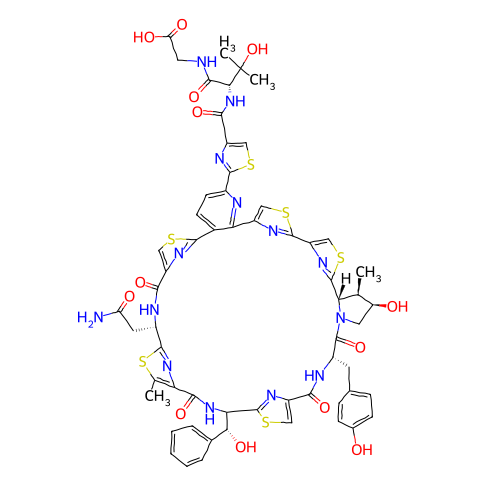 Cc1sc2nc1C(=O)NC([C@H](O)c1ccccc1)c1nc(cs1)C(=O)N[C@@H](Cc1ccc(O)cc1)C(=O)N1C[C@H](O)[C@H](C)[C@H]1c1nc(cs1)-c1nc(cs1)-c1nc(-c3nc(C(=O)N[C@H](C(=O)NCC(=O)O)C(C)(C)O)cs3)ccc1-c1nc(cs1)C(=O)N[C@H]2CC(N)=O